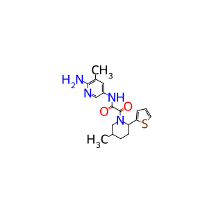 Cc1cc(NC(=O)C(=O)N2CC(C)CCC2c2cccs2)cnc1N